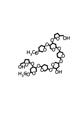 COC1CCC(OC2COC(OC3CCC(OC4COC(OC5CCC(OC6COC(OC)CC6OC6CCC(CO)O6)OC5)C(O)C4)OC3)CC2OC2CCC(CO)O2)OC1